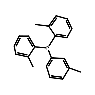 Cc1cccc(P(c2ccccc2C)c2ccccc2C)c1